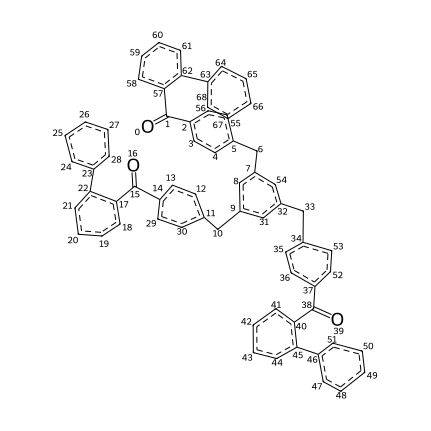 O=C(c1ccc(Cc2cc(Cc3ccc(C(=O)c4ccccc4-c4ccccc4)cc3)cc(Cc3ccc(C(=O)c4ccccc4-c4ccccc4)cc3)c2)cc1)c1ccccc1-c1ccccc1